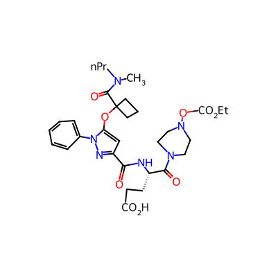 CCCN(C)C(=O)C1(Oc2cc(C(=O)N[C@@H](CCC(=O)O)C(=O)N3CCN(OC(=O)OCC)CC3)nn2-c2ccccc2)CCC1